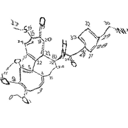 COc1cc2c(c(OC)c1OC)-c1ccc(SC)c(=O)cc1[C@@H](NC(=O)c1ccc(CN)cc1)CC2